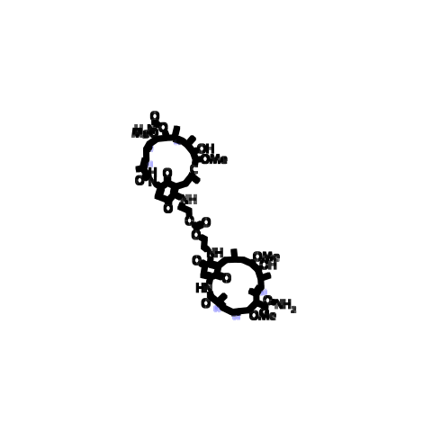 COC1/C=C\C=C(/C)C(=O)NC2=CC(=O)C(NCCOC(=O)OCCNC3=C4CC(C)CC(OC)C(O)C(C)/C=C(\C)C(C(=O)ON)C(OC)/C=C\C=C(/C)C(=O)NC(=CC3=O)C4=O)=C(CC(C)CC(OC)C(O)C(C)/C=C(\C)C1OC(N)=O)C2=O